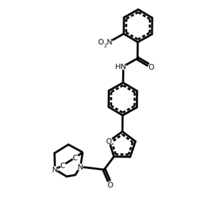 O=C(Nc1ccc(-c2ccc(C(=O)N3CCN4CCC3CC4)o2)cc1)c1ccccc1[N+](=O)[O-]